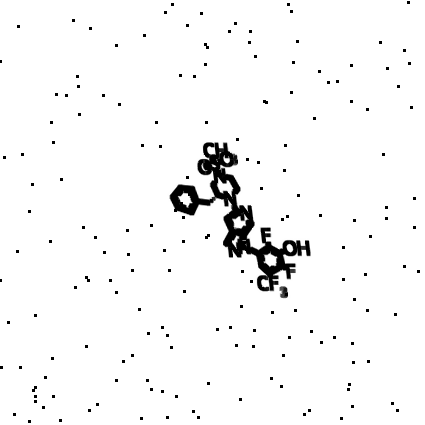 CS(=O)(=O)N1CCN(c2cc3cnn(-c4cc(C(F)(F)F)c(F)c(O)c4F)c3cn2)[C@H](Cc2ccccc2)C1